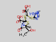 C[C@@H](O)[C@H]1C(=O)N2C(C(=O)O)=C(SC(CC(=O)O)Sc3nnn[nH]3)S[C@H]12